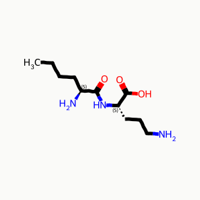 CCCC[C@H](N)C(=O)N[C@@H](CCCN)C(=O)O